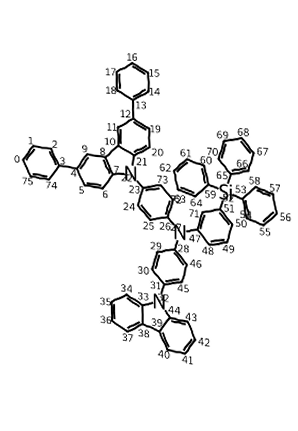 c1ccc(-c2ccc3c(c2)c2cc(-c4ccccc4)ccc2n3-c2ccc(N(c3ccc(-n4c5ccccc5c5ccccc54)cc3)c3cccc([Si](c4ccccc4)(c4ccccc4)c4ccccc4)c3)cc2)cc1